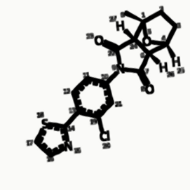 C[C@@]12CC[C@@H](O1)[C@@H]1C(=O)N(c3ccc(-c4nccs4)c(Cl)c3)C(=O)[C@@H]12